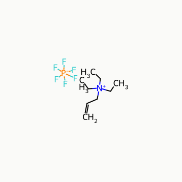 C=CC[N+](CC)(CC)CC.F[P-](F)(F)(F)(F)F